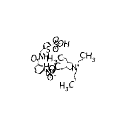 CCCC[N+](CCCC)(CCCC)CCCC.O=C(NCc1ccc(S(=O)(=O)O)s1)c1cccc([N+](=O)[O-])c1